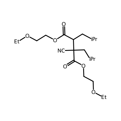 CCOCCOC(=O)C(CC(C)C)C(C#N)(CC(C)C)C(=O)OCCOCC